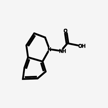 O=C(O)NN1CC=Cc2ccccc21